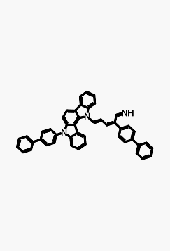 N=C/C(=C\C=C\n1c2ccccc2c2ccc3c(c4ccccc4n3-c3ccc(-c4ccccc4)cc3)c21)c1ccc(-c2ccccc2)cc1